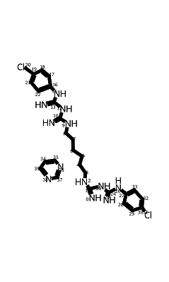 N=C(NCCCCCCNC(=N)NC(=N)Nc1ccc(Cl)cc1)NC(=N)Nc1ccc(Cl)cc1.c1cncnc1